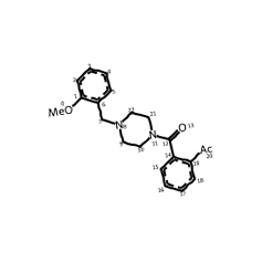 COc1ccccc1CN1CCN(C(=O)c2ccccc2C(C)=O)CC1